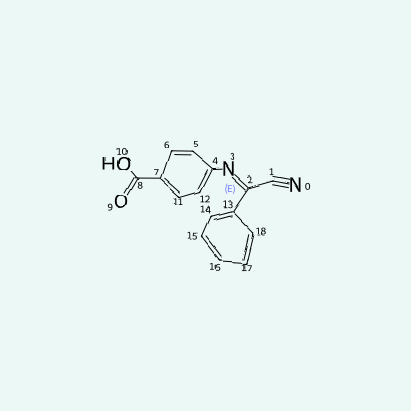 N#C/C(=N/c1ccc(C(=O)O)cc1)c1ccccc1